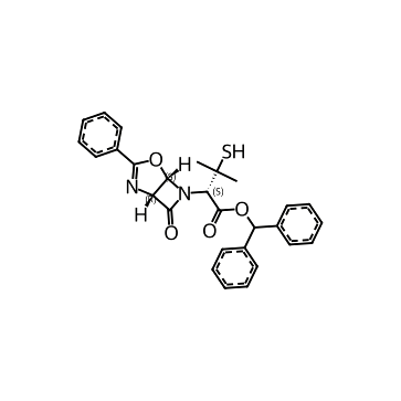 CC(C)(S)[C@H](C(=O)OC(c1ccccc1)c1ccccc1)N1C(=O)[C@@H]2N=C(c3ccccc3)O[C@@H]21